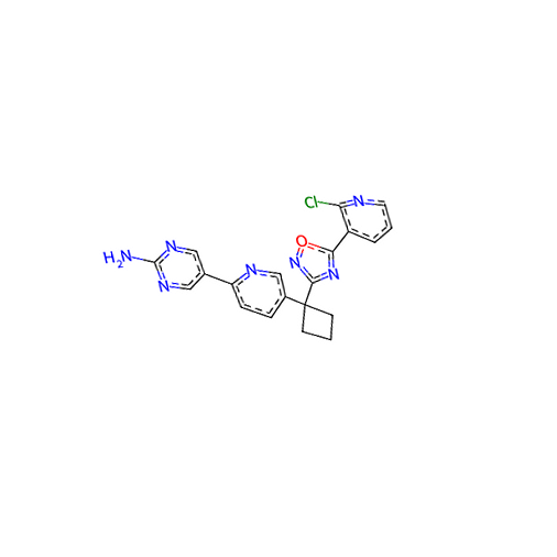 Nc1ncc(-c2ccc(C3(c4noc(-c5cccnc5Cl)n4)CCC3)cn2)cn1